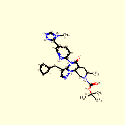 CC1Cc2c(n3ncc(Cc4ccccc4)c3n(-c3ccc(-c4nncn4C)cn3)c2=O)CN1C(=O)OC(C)(C)C